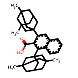 CC12CC3CC(C)(C1)CC(c1cc4ccccc4c(C45CC6CC(C)(CC(C)(C6)C4)C5)c1C(=O)O)(C3)C2